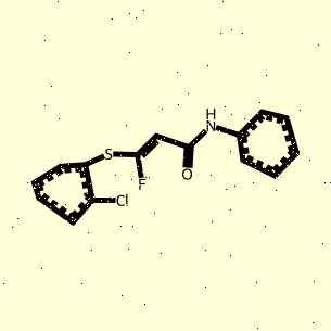 O=C(C=C(F)Sc1ccccc1Cl)Nc1ccccc1